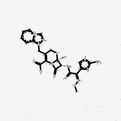 CO/N=C(\C(=O)N[C@@H]1C(=O)N2C(C(=O)[O-])=C(Cn3nc[n+]4ccccc34)CS[C@@H]12)c1csc(N)n1